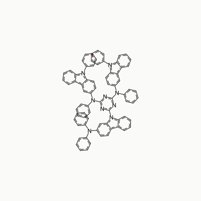 c1ccc(N(c2ccccc2)c2ccc3c4ccccc4n(-c4nc(N(c5ccccc5)c5ccc6c(c5)c5ccccc5n6-c5ccccc5)nc(N(c5ccccc5)c5ccc6c(c5)c5ccccc5n6-c5ccccc5)n4)c3c2)cc1